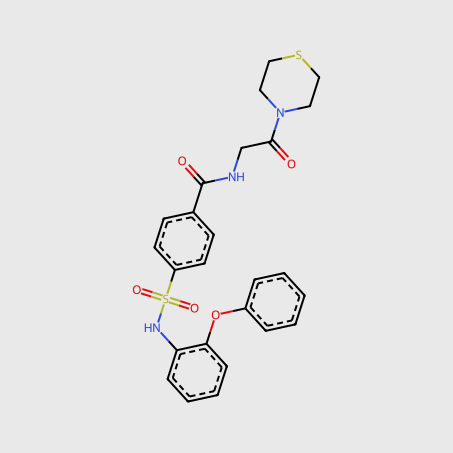 O=C(NCC(=O)N1CCSCC1)c1ccc(S(=O)(=O)Nc2ccccc2Oc2ccccc2)cc1